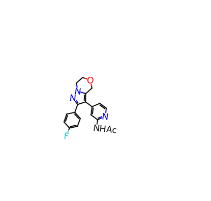 CC(=O)Nc1cc(-c2c(-c3ccc(F)cc3)nn3c2COCC3)ccn1